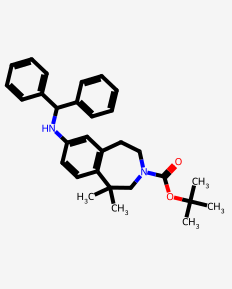 CC(C)(C)OC(=O)N1CCc2cc(NC(c3ccccc3)c3ccccc3)ccc2C(C)(C)C1